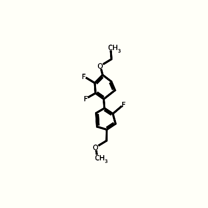 CCOc1ccc(-c2ccc(COC)cc2F)c(F)c1F